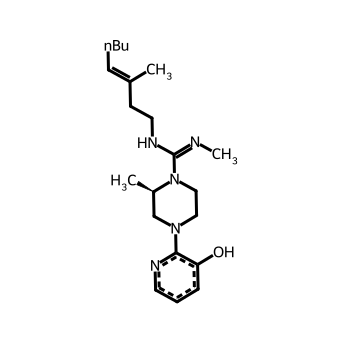 CCCC/C=C(\C)CCN/C(=N/C)N1CCN(c2ncccc2O)C[C@H]1C